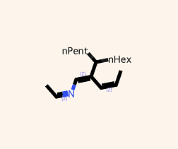 C\C=C/C(=C\N=C/C)C(CCCCC)CCCCCC